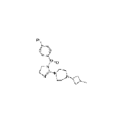 CC1CC(N2CCN(C3=NCCN3[S+]([O-])c3ccc(C(C)C)cc3)CC2)C1